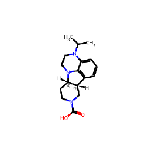 CC(C)N1CCN2c3c(cccc31)[C@@H]1CN(C(=O)O)CC[C@@H]12